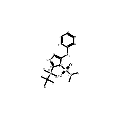 CN(C)S(=O)(=O)n1c(Sc2ccccc2)cnc1[Si](C)(C)C(C)(C)C